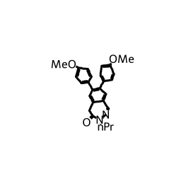 CCCN1N=Cc2cc(-c3ccc(OC)cc3)c(-c3ccc(OC)cc3)cc2CC1=O